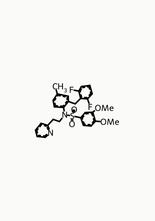 COc1ccc(S(=O)(=O)N(CCc2ccccn2)c2ccc(C)cc2Cc2c(F)cccc2F)cc1OC